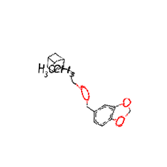 CC1(C)C2CC=C(CCOCc3ccc4c(c3)OCO4)C1C2